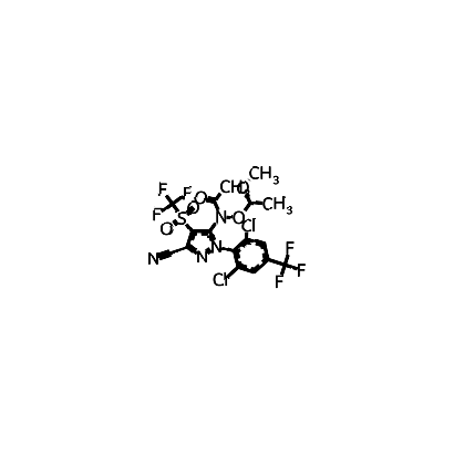 COC(C)ON(C(C)=O)c1c(S(=O)(=O)C(F)(F)F)c(C#N)nn1-c1c(Cl)cc(C(F)(F)F)cc1Cl